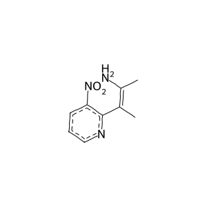 CC(N)=C(C)c1ncccc1[N+](=O)[O-]